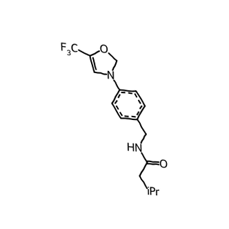 CC(C)CC(=O)NCc1ccc(N2C=C(C(F)(F)F)OC2)cc1